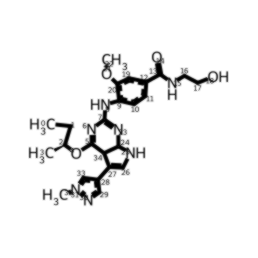 CC[C@H](C)OC1=NC(Nc2ccc(C(=O)NCCO)cc2OC)=NC2NC=C(c3cnn(C)c3)C12